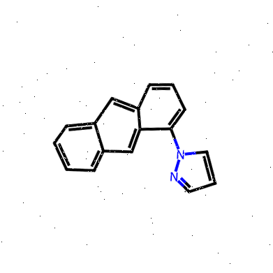 [c]1ccn(-c2cccc3cc4ccccc4cc23)n1